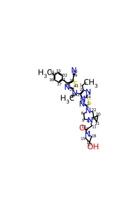 CCc1nc2sc(N3CCN(CC(=O)N4CC(O)C4)C4(CC4)C3)nn2c1N(C)c1nc(-c2ccc(C)cc2)c(C#N)s1